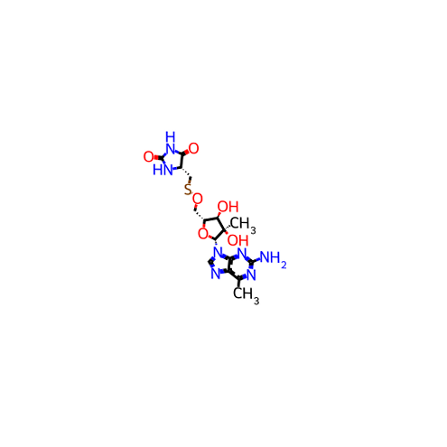 Cc1nc(N)nc2c1ncn2[C@@H]1O[C@H](COSC[C@@H]2NC(=O)NC2=O)[C@@H](O)[C@@]1(C)O